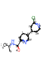 C[C@H](NC(=O)c1ccc(-c2ccnc(Cl)c2)cn1)C(F)(F)F